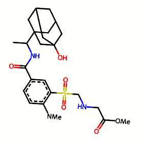 CNc1ccc(C(=O)NC(C)C23CC4CC(CC(O)(C4)C2)C3)cc1S(=O)(=O)CNCC(=O)OC